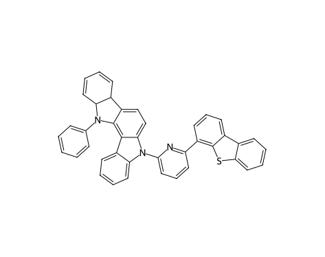 C1=CC2c3ccc4c(c3N(c3ccccc3)C2C=C1)c1ccccc1n4-c1cccc(-c2cccc3c2sc2ccccc23)n1